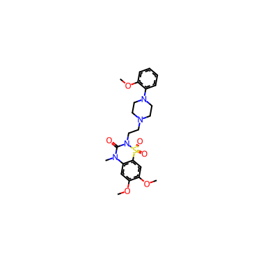 COc1cc2c(cc1OC)S(=O)(=O)N(CCN1CCN(c3ccccc3OC)CC1)C(=O)N2C